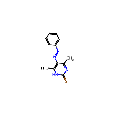 Cc1nc(=S)[nH]c(C)c1N=Nc1ccccc1